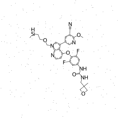 COc1ncc(-c2cn(COCC[SiH](C)C)c3nccc(Oc4c(F)cc(NC(=O)NCC5(C)COC5)cc4F)c23)cc1C#N